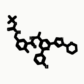 Cc1ccc(CNC(=O)OC(C)(C)C)cc1C(=O)NC(C)c1cc(-c2cccc(Cl)c2)nc(-c2cnn(C3CCCCO3)c2)c1